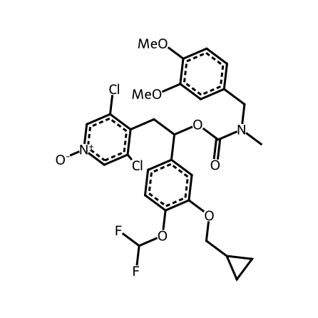 COc1ccc(CN(C)C(=O)OC(Cc2c(Cl)c[n+]([O-])cc2Cl)c2ccc(OC(F)F)c(OCC3CC3)c2)cc1OC